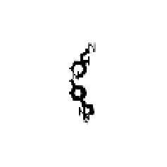 Cn1ccc(-c2ccc(CN3CCC(I)(CC#N)CC3)cc2)n1